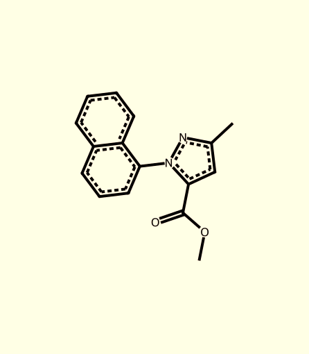 COC(=O)c1cc(C)nn1-c1cccc2ccccc12